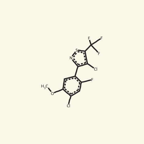 COc1cc(-c2nsc(C(F)(F)F)c2Cl)c(F)cc1Cl